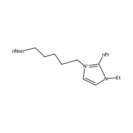 CCCCCCCCCCCCCC[n+]1ccn(CC)c1CCC